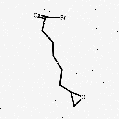 O=C(Br)CCCCCC1CO1